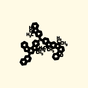 CC1(C)c2ccccc2-c2ccc(N(c3ccc4c(c3)C(C)(C)c3cc5c(cc3-4)C(C)(C)c3ccc4oc6c(c4c3-5)CCC=C6)c3ccc4c(c3)C(C)(C)c3cc(-c5ccc6ccccc6c5)c5c(c3-4)-c3ccccc3C5)cc21